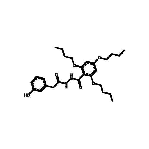 CCCCOc1cc(OCCCC)c(C(=O)NNC(=O)Cc2cccc(O)c2)c(OCCCC)c1